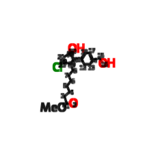 COC(=O)CCCCCC[C@@H]1C(c2ccc(CO)cc2)[C@H](O)C[C@H]1Cl